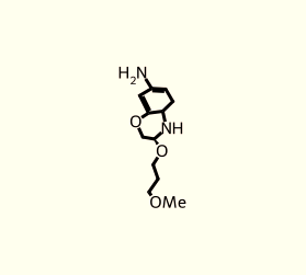 COCCCO[C@H]1COC2=CC(N)=CCC2N1